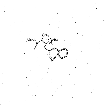 COC(=O)C(C)C(N)Cc1cnc2ccccc2c1.Cl